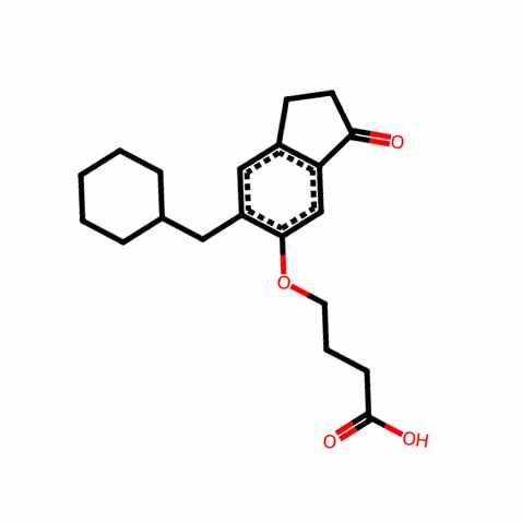 O=C(O)CCCOc1cc2c(cc1CC1CCCCC1)CCC2=O